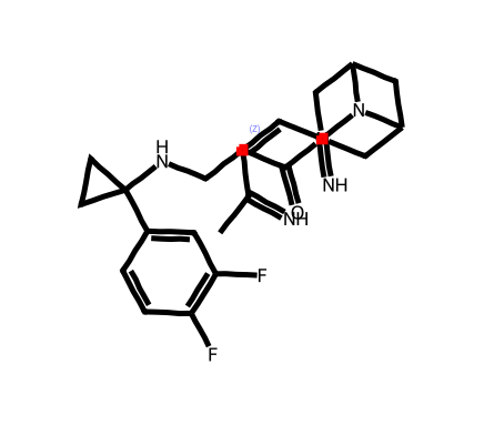 CC(=N)/C=C\C(=N)N1C2CC1CN(C(=O)CCNC1(c3ccc(F)c(F)c3)CC1)C2